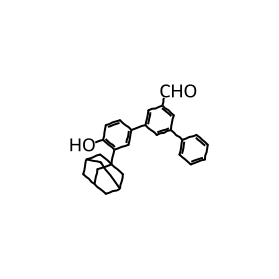 O=Cc1cc(-c2ccccc2)cc(-c2ccc(O)c(C34CC5CC(CC(C5)C3)C4)c2)c1